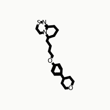 c1cc(C2CCOCC2)ccc1OCCCCC1CCCC2=NSCCN21